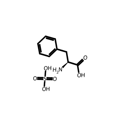 N[C@@H](Cc1ccccc1)C(=O)O.O=S(=O)(O)O